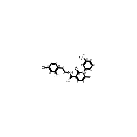 Cc1ccc(C(=O)NCCc2ccc(Cl)cc2Cl)c(=O)n1-c1cccc(C(F)(F)F)c1